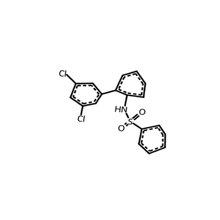 O=S(=O)(Nc1ccccc1-c1cc(Cl)cc(Cl)c1)c1ccccc1